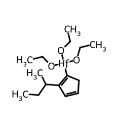 CC[O][Hf]([O]CC)([O]CC)[C]1=C(C(C)CC)C=CC1